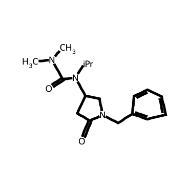 CC(C)N(C(=O)N(C)C)C1CC(=O)N(Cc2ccccc2)C1